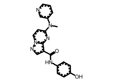 CN(c1cccnc1)c1ccn2ncc(C(=O)Nc3ccc(O)cc3)c2n1